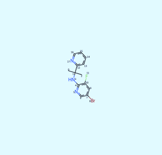 CC(C)(Nc1ncc(Br)cc1F)c1ccccn1